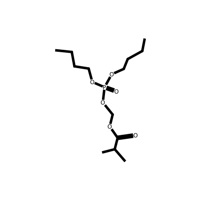 CCCCOP(=O)(OCCCC)OCOC(=O)C(C)C